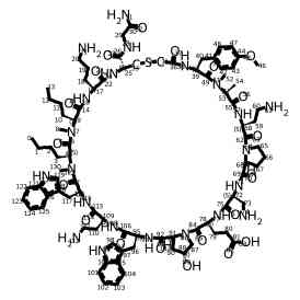 CCCC[C@H]1C(=O)N(C)[C@@H](CCCC)C(=O)N[C@@H](CCCN)C(=O)N[C@H](C(=O)NCC(N)=O)CSCC(=O)N[C@@H](Cc2ccc(OC)cc2)C(=O)N(C)[C@@H](C)C(=O)N[C@@H](CCN)C(=O)N2CCC[C@H]2C(=O)N[C@@H](CN)C(=O)N[C@@H](CCC(=O)O)C(=O)N2C[C@H](O)C[C@H]2C(=O)N[C@@H](Cc2c[nH]c3ccccc23)C(=O)N[C@@H](CCN)C(=O)N[C@@H](Cc2c[nH]c3ccccc23)C(=O)N1C